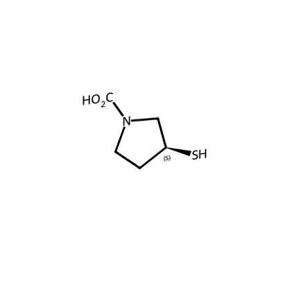 O=C(O)N1CC[C@H](S)C1